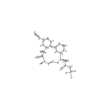 C[C@@H]1/C=C/C[C@H](NC(=O)OC(C)(C)C)c2cncc(c2)-c2ccc(C#N)cc2NC1=O